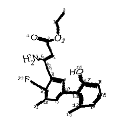 CCOC(=O)C[C@H](N)c1cc(-c2c(C)cccc2O)cc(C)c1F